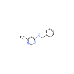 FC(F)(F)c1cc(NCc2ccccc2)ncn1